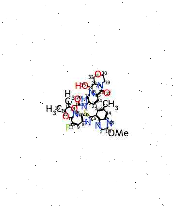 COc1cnc2c(-c3nc4cc(F)c(O[C@@H](C)[C@@H](C)OC(=O)Nc5ccc(C(=O)N6CCOCC6CO)nc5)nc4s3)cc(C)cc2n1